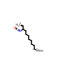 C=CC(CCCCCCCCCCCCCCCCC)N=C=O